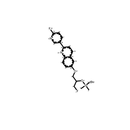 CC(C)(C)[Si](C)(C)OC(CF)COc1ccc2nc(-c3ccc(F)nc3)ccc2c1